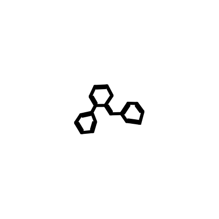 C1=CCC(=Cc2ccccc2)C(c2ccccc2)=C1